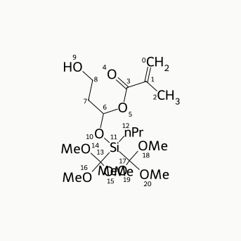 C=C(C)C(=O)OC(CCO)O[Si](CCC)(C(OC)(OC)OC)C(OC)(OC)OC